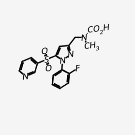 CN(Cc1cc(S(=O)(=O)c2cccnc2)n(-c2ccccc2F)n1)C(=O)O